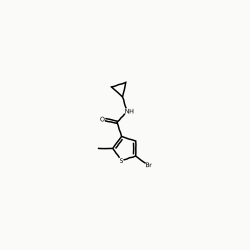 Cc1sc(Br)cc1C(=O)NC1CC1